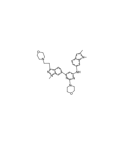 Cc1cc2ccc(Nc3cc(-c4ccc5c(CCN6CCOCC6)nn(C)c5c4)nc(N4CCOCC4)n3)cc2n1C